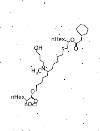 CCCCCCCCC(CCCCCC)C(=O)OCCCCCC(CCCCCSCC(CCCCCC)OC(=O)CC1CCCCCC1)N(C)CCCCO